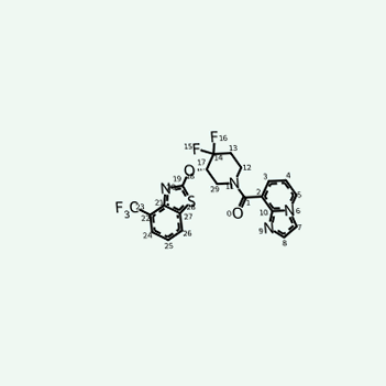 O=C(c1cccn2ccnc12)N1CCC(F)(F)[C@@H](Oc2nc3c(C(F)(F)F)cccc3s2)C1